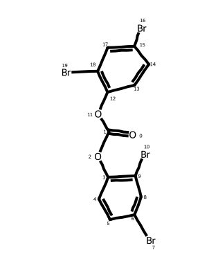 O=C(Oc1ccc(Br)cc1Br)Oc1ccc(Br)cc1Br